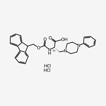 Cl.Cl.O=C(N[C@@H](CN1CCN(c2ccccc2)CC1)C(=O)O)OCC1c2ccccc2-c2ccccc21